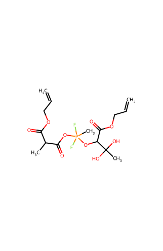 C=CCOC(=O)C(C)C(=O)OP(C)(F)(F)OC(C(=O)OCC=C)C(C)(O)O